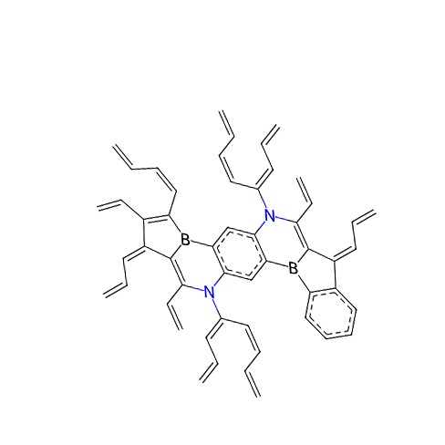 C=C/C=C\C1=C(C=C)C(=C/C=C)/C2=C(C=C)N(C(/C=C\C=C)=C/C=C)c3cc4c(cc3B12)N(C(/C=C\C=C)=C/C=C)C(C=C)=C1B4c2ccccc2/C1=C/C=C